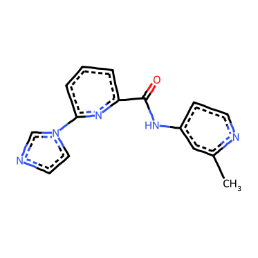 Cc1cc(NC(=O)c2cccc(-n3ccnc3)n2)ccn1